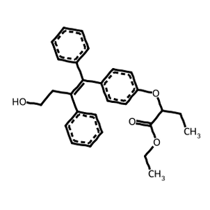 CCOC(=O)C(CC)Oc1ccc(C(=C(CCO)c2ccccc2)c2ccccc2)cc1